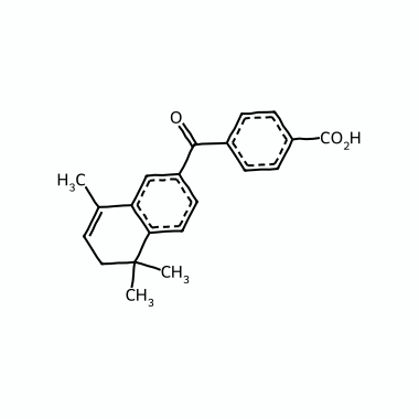 CC1=CCC(C)(C)c2ccc(C(=O)c3ccc(C(=O)O)cc3)cc21